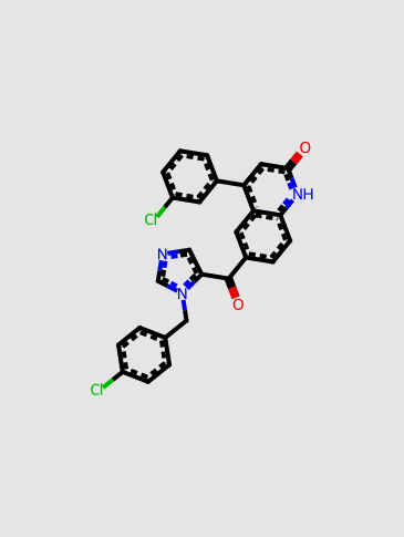 O=C(c1ccc2[nH]c(=O)cc(-c3cccc(Cl)c3)c2c1)c1cncn1Cc1ccc(Cl)cc1